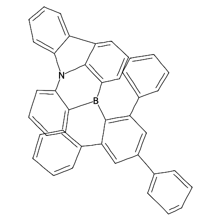 c1ccc(-c2cc(-c3ccccc3)c(B3c4ccccc4-n4c5ccccc5c5cccc3c54)c(-c3ccccc3)c2)cc1